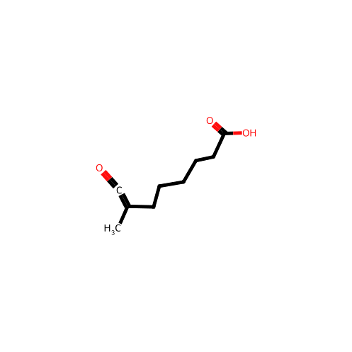 CC(=C=O)CCCCCC(=O)O